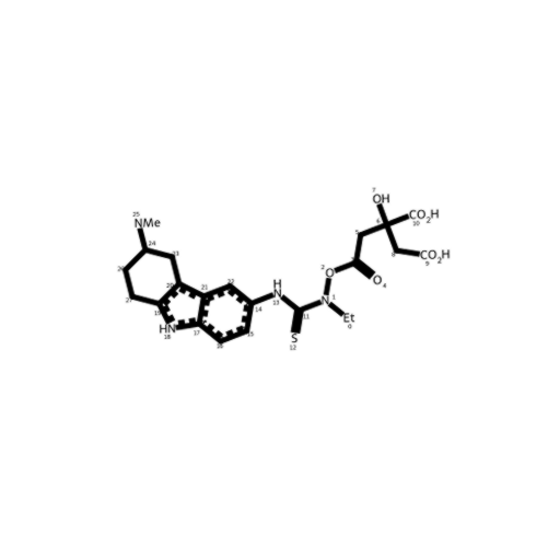 CCN(OC(=O)CC(O)(CC(=O)O)C(=O)O)C(=S)Nc1ccc2[nH]c3c(c2c1)CC(NC)CC3